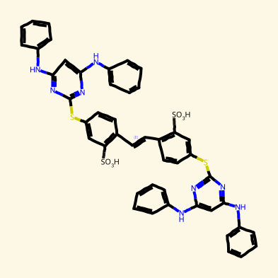 O=S(=O)(O)c1cc(Sc2nc(Nc3ccccc3)cc(Nc3ccccc3)n2)ccc1/C=C/c1ccc(Sc2nc(Nc3ccccc3)cc(Nc3ccccc3)n2)cc1S(=O)(=O)O